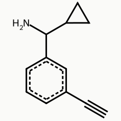 C#Cc1cccc(C(N)C2CC2)c1